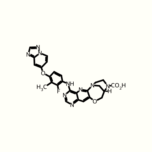 Cc1c(Oc2ccn3ncnc3c2)ccc(Nc2ncnc3cc4c(nc23)N2CCN(C(=O)O)[C@H](CO4)C2)c1F